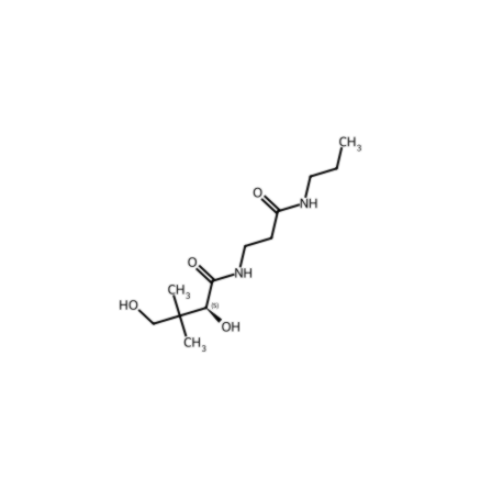 CCCNC(=O)CCNC(=O)[C@@H](O)C(C)(C)CO